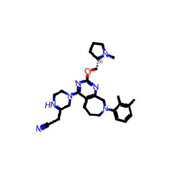 Cc1cccc(N2CCCc3c(nc(OC[C@@H]4CCCN4C)nc3N3CCNC(CC#N)C3)C2)c1C